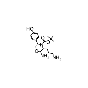 C[C@H](c1ccc(O)cc1)N(C(=O)OC(C)(C)C)[C@H](CCCN)C(N)=O